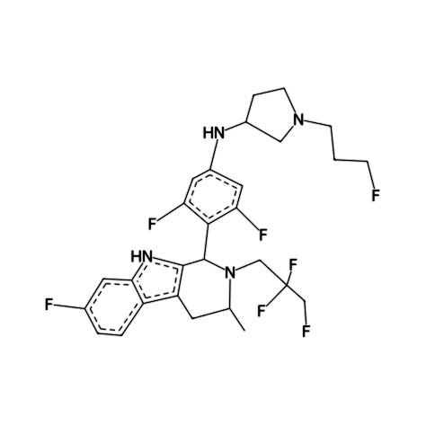 CC1Cc2c([nH]c3cc(F)ccc23)C(c2c(F)cc(NC3CCN(CCCF)C3)cc2F)N1CC(F)(F)CF